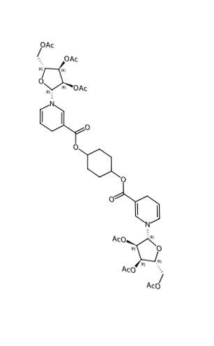 CC(=O)OC[C@H]1O[C@@H](N2C=CCC(C(=O)OC3CCC(OC(=O)C4=CN([C@@H]5O[C@H](COC(C)=O)[C@@H](OC(C)=O)[C@H]5OC(C)=O)C=CC4)CC3)=C2)[C@H](OC(C)=O)[C@@H]1OC(C)=O